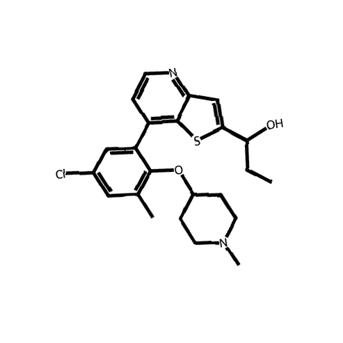 CCC(O)c1cc2nccc(-c3cc(Cl)cc(C)c3OC3CCN(C)CC3)c2s1